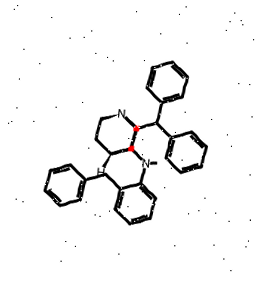 CN(c1ccccc1Cc1ccccc1)C1C(C(c2ccccc2)c2ccccc2)[N@]2CC[C@H]1CC2